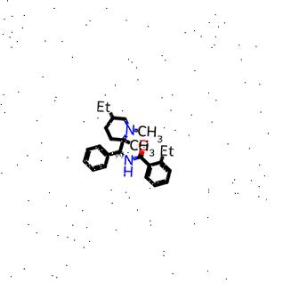 CCc1ccccc1C(=O)N[C@H](c1ccccc1)C1(C)CCC(CC)CN1C